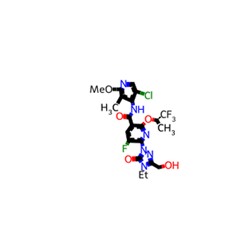 CCn1c(CO)nn(-c2nc(O[C@@H](C)C(F)(F)F)c(C(=O)Nc3c(Cl)cnc(OC)c3C)cc2F)c1=O